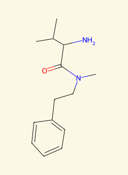 CC(C)C(N)C(=O)N(C)CCc1ccccc1